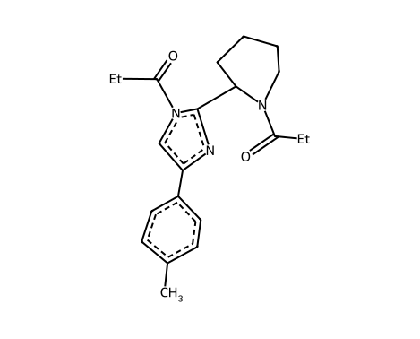 CCC(=O)N1CCCCC1c1nc(-c2ccc(C)cc2)cn1C(=O)CC